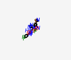 N#Cc1cc(-c2cncs2)ccc1N(C(=O)C(F)Cl)C(C(=O)Nc1nnc(C2CCC(F)(F)CC2)o1)c1cncnc1